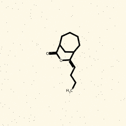 CCC/C=C1\OC(=O)C2CCCCC1C2